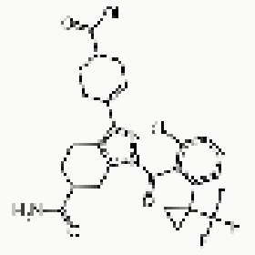 NC(=O)C1CCc2c(C3=CCC(C(=O)O)CC3)nn(C(=O)c3c(Cl)cccc3C3(C(F)(F)F)CC3)c2C1